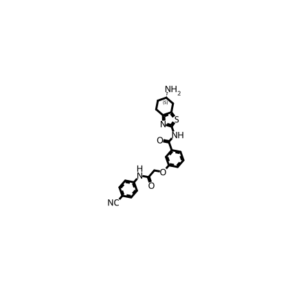 N#Cc1ccc(NC(=O)COc2cccc(C(=O)Nc3nc4c(s3)C[C@@H](N)CC4)c2)cc1